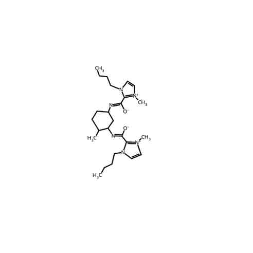 CCCCn1cc[n+](C)c1C([O-])=NC1CC(/N=C(\[O-])c2n(CCCC)cc[n+]2C)CCC1C